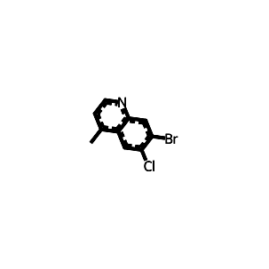 Cc1ccnc2cc(Br)c(Cl)cc12